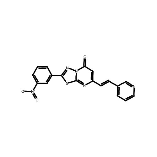 O=c1cc(/C=C/c2cccnc2)nc2sc(-c3cccc([N+](=O)[O-])c3)nn12